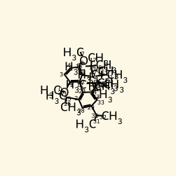 COc1ccc(OC)c([PH](C(C)(C)C)(C(C)(C)C)C(C)(C)C)c1-c1c(C(C)C)cc(C(C)C)cc1C(C)C